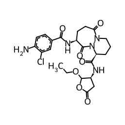 CCOC1OC(=O)C[C@@H]1NC(=O)[C@@H]1CCCN2C(=O)CC[C@H](NC(=O)c3ccc(N)c(Cl)c3)C(=O)N12